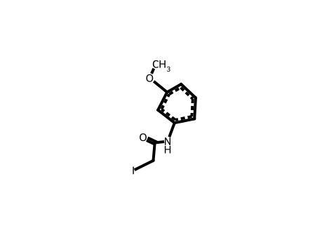 COc1cccc(NC(=O)CI)c1